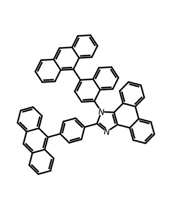 c1ccc2c(-c3ccc(-c4nc5c6ccccc6c6ccccc6c5n4-c4ccc(-c5c6ccccc6cc6ccccc56)c5ccccc45)cc3)c3ccccc3cc2c1